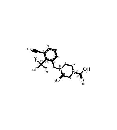 N#Cc1cccc(CN2CCN(C(=O)O)CC2=O)c1C(F)(F)F